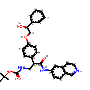 CC(C)(C)OC(=O)NCC(C(=O)Nc1ccc2cnccc2c1)c1ccc(OCC(O)c2ccccc2)cc1